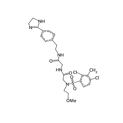 COCCN(CC(=O)NCC(=O)NCCc1ccc(C2=NCCN2)cc1)S(=O)(=O)c1ccc(Cl)c(C)c1Cl